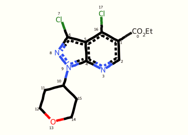 CCOC(=O)c1cnc2c(c(Cl)nn2C2CCOCC2)c1Cl